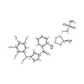 NS(=O)(=O)OC[C@H]1C[C@@H](Nc2ncncc2C(=O)c2ccn(C(F)c3cc(F)c(F)c(F)c3F)n2)C[C@@H]1O